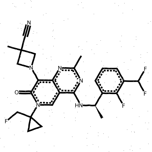 Cc1nc(N[C@H](C)c2cccc(C(F)F)c2F)c2cn(C3(CF)CC3)c(=O)c(N3CC(C)(C#N)C3)c2n1